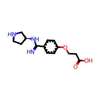 N=C(N[C@H]1CCNC1)c1ccc(OCCC(=O)O)cc1